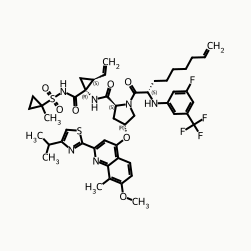 C=CCCCCC[C@H](Nc1cc(F)cc(C(F)(F)F)c1)C(=O)N1C[C@H](Oc2cc(-c3nc(C(C)C)cs3)nc3c(C)c(OC)ccc23)C[C@H]1C(=O)N[C@]1(C(=O)NS(=O)(=O)C2(C)CC2)C[C@H]1C=C